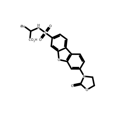 CCC(C)C(NS(=O)(=O)c1ccc2c(c1)oc1cc(N3CCOC3=O)ccc12)C(=O)O